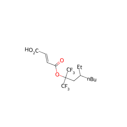 CCCCC(CC)CC(OC(=O)/C=C/C(=O)O)(C(F)(F)F)C(F)(F)F